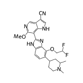 COc1ncc2c(C#N)c[nH]c2c1-c1nc2c(OCC(F)F)c(C3CCN(C)C(C)C3)ccc2[nH]1